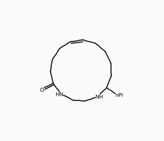 CCCC1CCCC/C=C\CCCC(=O)NCCN1